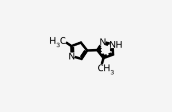 CC1=NC=C(c2n[nH]cc2C)C1